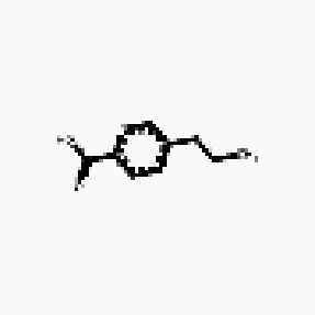 CCCc1ccc(C(=O)O)nc1